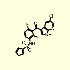 O=C(c1c(F)ccc(NS(=O)(=O)C2=CCC=C2)c1F)c1c[nH]c2ncc(Cl)cc12